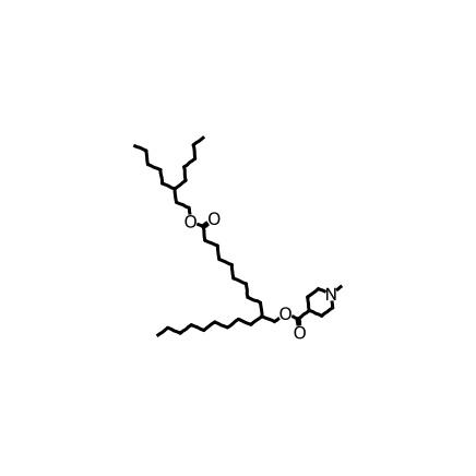 CCCCCCCCCC(CCCCCCCCC(=O)OCCC(CCCCC)CCCCC)COC(=O)C1CCN(C)CC1